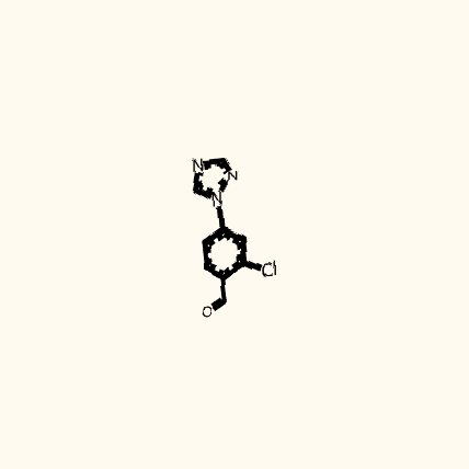 O=Cc1ccc(-n2cncn2)cc1Cl